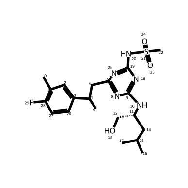 Cc1cc(C(C)Cc2nc(N[C@@H](CO)CC(C)C)nc(NS(C)(=O)=O)n2)ccc1F